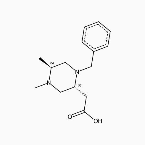 C[C@H]1CN(Cc2ccccc2)[C@H](CC(=O)O)CN1C